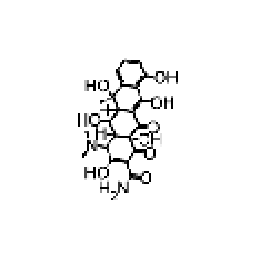 CN(C)C1C(O)=C(C(N)=O)C(=O)[C@@]2(O)C(=O)C3=C(O)c4c(O)cccc4[C@@](C)(O)[C@H]3[C@H](O)[C@@H]12